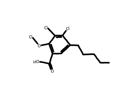 CCCCCc1cc(C(=O)O)c(OCl)c(Cl)c1Cl